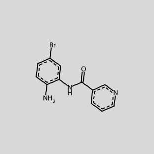 Nc1ccc(Br)cc1NC(=O)c1cccnc1